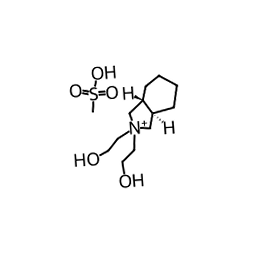 CS(=O)(=O)O.OCC[N+]1(CCO)C[C@@H]2CCCC[C@H]2C1